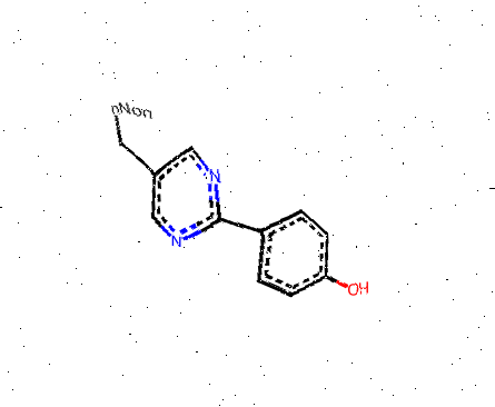 CCCCCCCCCCc1cnc(-c2ccc(O)cc2)nc1